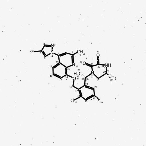 Cc1cc(-n2cc(F)cn2)c2cccc(OCc3c(Cl)cc(F)cc3[C@H](C)N3C[C@H](C)NC(=O)C3=O)c2n1